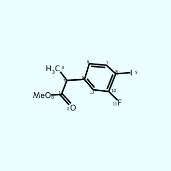 COC(=O)C(C)c1ccc(I)c(F)c1